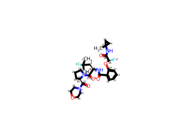 CC(C)(F)C[C@@H](NC(=O)c1ccccc1O[C@H](F)C(=O)NC1(C)CC1)C(=O)N1CCC[C@@H]1C(=O)N1CCOCC1